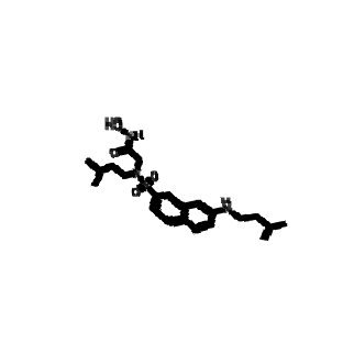 CC(C)CCNc1ccc2ccc(S(=O)(=O)N(CCC(C)C)CC(=O)NO)cc2c1